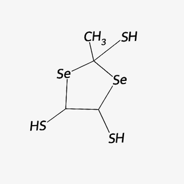 CC1(S)[Se]C(S)C(S)[Se]1